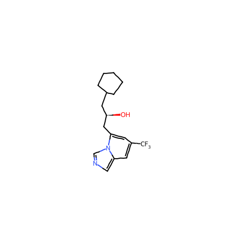 O[C@@H](Cc1cc(C(F)(F)F)cc2cncn12)CC1CCCCC1